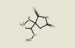 CC(OC=O)C1(NN)CC(=O)NC1=O